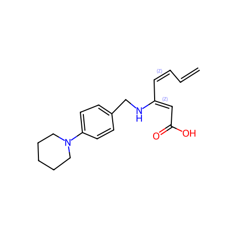 C=C/C=C\C(=C\C(=O)O)NCc1ccc(N2CCCCC2)cc1